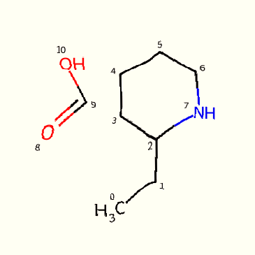 CCC1CCCCN1.O=CO